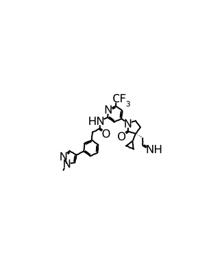 Cn1cc(-c2cccc(CC(=O)Nc3cc(N4CC[C@@](CC=N)(C5CC5)C4=O)cc(C(F)(F)F)n3)c2)cn1